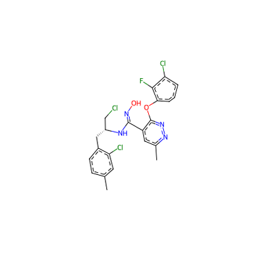 Cc1ccc(C[C@H](CCl)NC(=NO)c2cc(C)nnc2Oc2cccc(Cl)c2F)c(Cl)c1